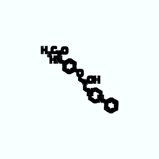 CC(=O)Nc1ccc(OC[C@H](O)CN2CCN(c3ccccc3)CC2)cc1